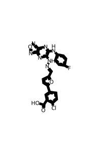 O=C(O)c1cc(-c2ccc(/C=N/Nc3nc4nonc4nc3Nc3ccc(F)cc3)o2)ccc1Cl